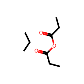 CCC.CCC(=O)OC(=O)CC